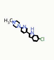 CN1CCN(c2ccc(-c3cc4ccc(Cl)cc4[nH]3)cn2)CC1